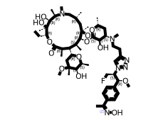 CC[C@H]1OC(=O)[C@H](C)C([C@H]2C[C@@](C)(OC)[C@@H](O)[C@H](C)O2)[C@H](C)[C@@H](O[C@@H]2O[C@H](C)C[C@H](N(C)CCc3cn([C@H](CF)[C@H](OC)c4ccc(/C(C)=N\O)cc4)nn3)[C@H]2O)[C@](C)(O)C[C@@H](C)CN(C)[C@H](C)[C@@H](O)[C@]1(C)O